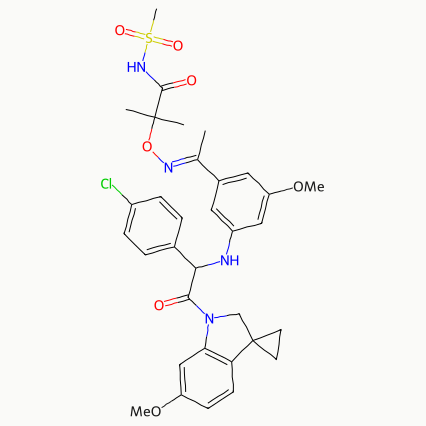 COc1cc(NC(C(=O)N2CC3(CC3)c3ccc(OC)cc32)c2ccc(Cl)cc2)cc(C(C)=NOC(C)(C)C(=O)NS(C)(=O)=O)c1